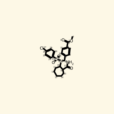 COC(=O)c1ccc(CN(C2CCCCCC2C(N)=O)S(=O)(=O)c2ccc(Cl)cc2)cc1